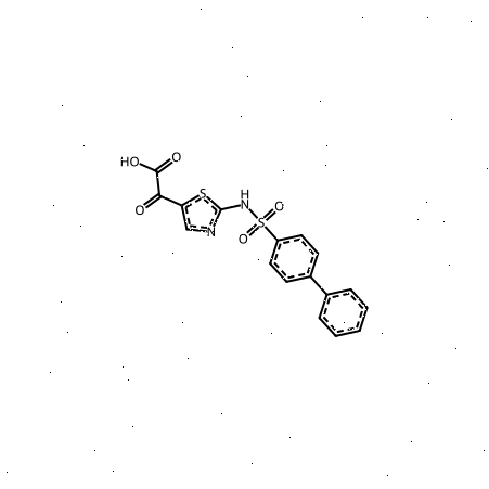 O=C(O)C(=O)c1cnc(NS(=O)(=O)c2ccc(-c3ccccc3)cc2)s1